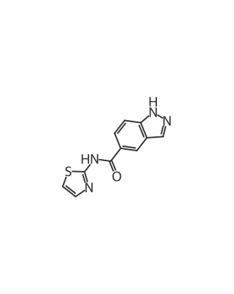 O=C(Nc1nccs1)c1ccc2[nH]ncc2c1